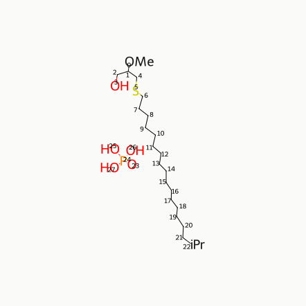 COC(CO)CSCCCCCCCCCCCCCCCCC(C)C.O=P(O)(O)O